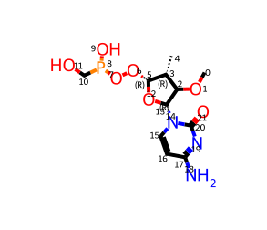 COC1[C@@H](C)[C@@H](OOP(O)CO)O[C@H]1n1ccc(N)nc1=O